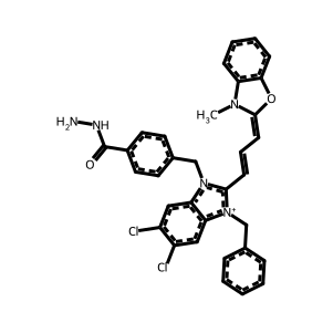 CN1C(=CC=Cc2n(Cc3ccc(C(=O)NN)cc3)c3cc(Cl)c(Cl)cc3[n+]2Cc2ccccc2)Oc2ccccc21